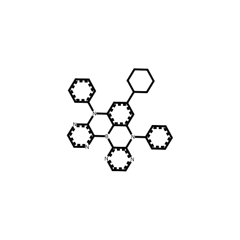 c1ccc(N2c3cc(C4CCCCC4)cc4c3B(c3nccnc32)c2nccnc2N4c2ccccc2)cc1